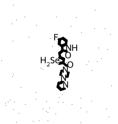 O=C1Nc2ccc(F)cc2/C1=C/C1=CC(C(=O)N2CCN(c3ccccn3)CC2)=C[SeH2]1